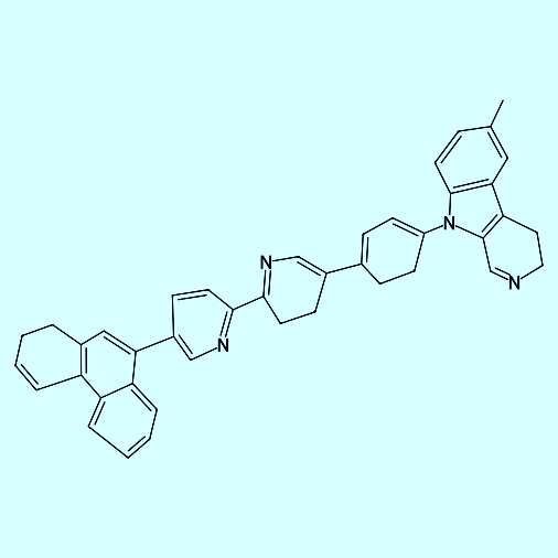 Cc1ccc2c(c1)c1c(n2C2=CC=C(C3=CN=C(c4ccc(-c5cc6c(c7ccccc57)C=CCC6)cn4)CC3)CC2)C=NCC1